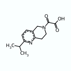 CC(C)c1ccc2c(n1)CCN(C(=O)C(=O)O)C2